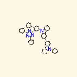 C1=Cc2c(n(-c3ccccc3)c3ccc(-c4ccc5c(c4)c4ccccc4n5-c4ccc(-c5ccccc5)c(-c5nc(-c6ccccc6)nc(-c6ccccc6)n5)c4)cc23)CC1